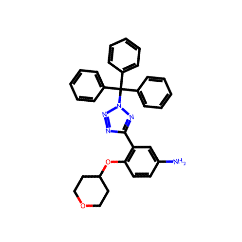 Nc1ccc(OC2CCOCC2)c(-c2nnn(C(c3ccccc3)(c3ccccc3)c3ccccc3)n2)c1